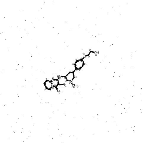 CN1CC(Nc2nc3ccccn3c(=O)c2Br)CC(c2ccc(OCCO)cc2)C1